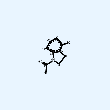 CC(=O)N1CCc2c(Cl)cccc21